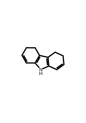 C1=Cc2[nH]c3c(c2CC1)CCC=C3